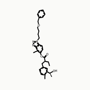 CCC(Cc1ccc(C)c([C@H](C)O)c1)C(=O)Oc1ccc2c(nnn2CCCCOCc2ccccc2)c1C